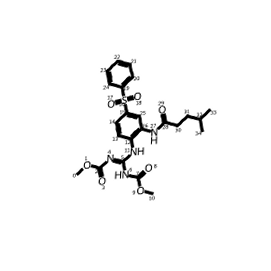 COC(=O)N=C(NC(=O)OC)Nc1ccc(S(=O)(=O)c2ccccc2)cc1NC(=O)CCC(C)C